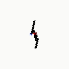 CCCCCCCCCCc1ccc(OC(=O)c2ccc(C3CCC(CCCCCCCC)CC3)cc2)c(C#N)c1